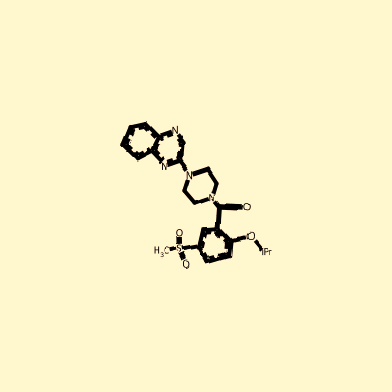 CC(C)Oc1ccc(S(C)(=O)=O)cc1C(=O)N1CCN(c2cnc3ccccc3n2)CC1